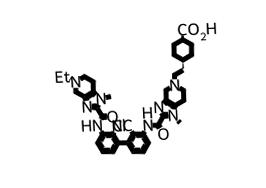 CCN1CCc2c(nc(C(=O)Nc3cccc(-c4cccc(NC(=O)c5nc6c(n5C)CCN(CC[C@H]5CC[C@H](C(=O)O)CC5)C6)c4C#N)c3Cl)n2C)C1